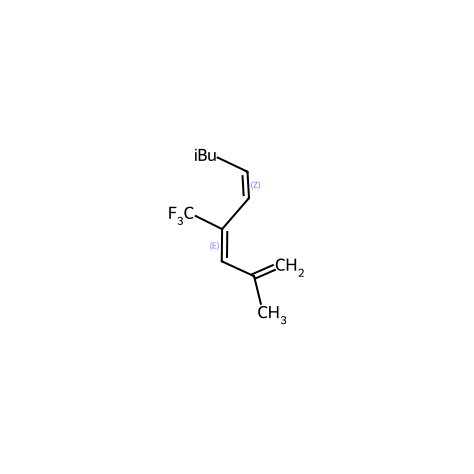 C=C(C)/C=C(\C=C/C(C)CC)C(F)(F)F